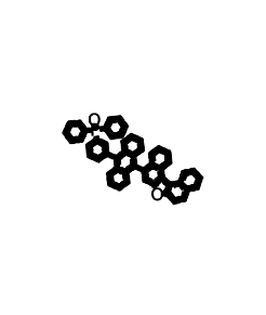 O=P(c1ccccc1)(c1ccccc1)c1cccc(-c2c3ccccc3c(-c3cc4oc5ccc6ccccc6c5c4c4ccccc34)c3ccccc23)c1